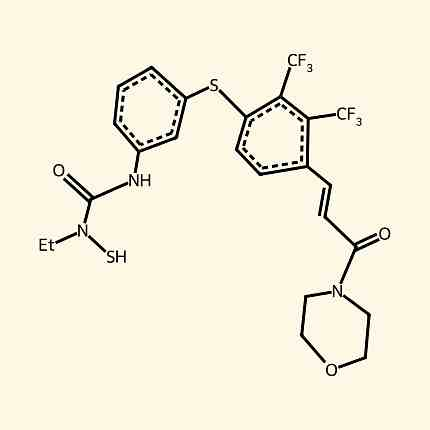 CCN(S)C(=O)Nc1cccc(Sc2ccc(C=CC(=O)N3CCOCC3)c(C(F)(F)F)c2C(F)(F)F)c1